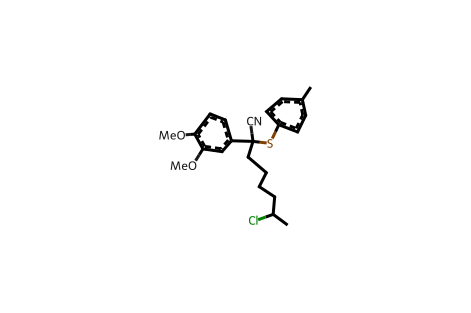 COc1ccc(C(C#N)(CCCCC(C)Cl)Sc2ccc(C)cc2)cc1OC